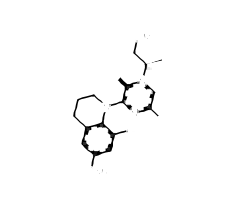 COC[C@@H](C)n1cc(Cl)nc(N2CCCc3cc(OC)cc(Br)c32)c1=O